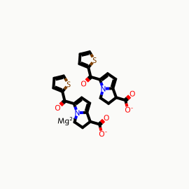 O=C(c1cccs1)c1ccc2n1CCC2C(=O)[O-].O=C(c1cccs1)c1ccc2n1CCC2C(=O)[O-].[Mg+2]